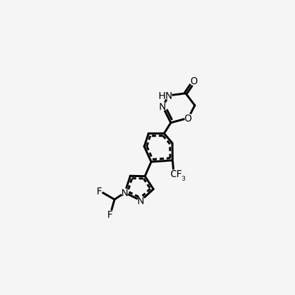 O=C1COC(c2ccc(-c3cnn(C(F)F)c3)c(C(F)(F)F)c2)=NN1